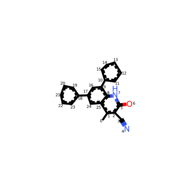 Cc1c(C#N)c(=O)[nH]c2c(-c3ccccc3)cc(-c3ccccc3)cc12